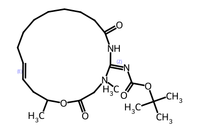 CC1C/C=C/CCCCCCCC(=O)N/C(=N/C(=O)OC(C)(C)C)N(C)CC(=O)O1